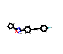 Fc1ccc(C#Cc2ccc(-c3noc(C4CCCC4)n3)cc2)cc1